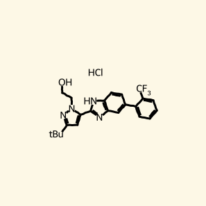 CC(C)(C)c1cc(-c2nc3cc(-c4ccccc4C(F)(F)F)ccc3[nH]2)n(CCO)n1.Cl